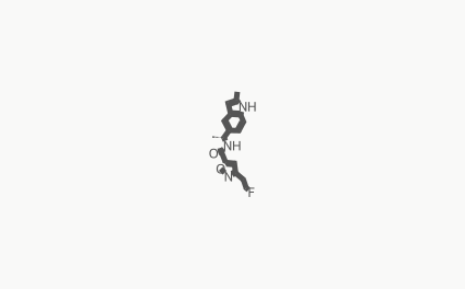 Cc1cc2cc([C@@H](C)NC(=O)c3cc(CCF)no3)ccc2[nH]1